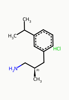 CC(C)c1cccc(C[C@@H](C)CN)c1.Cl